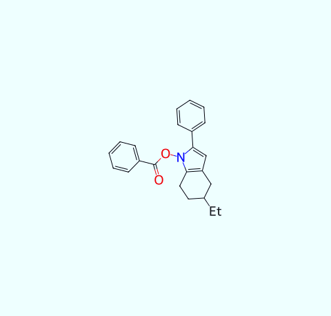 CCC1CCc2c(cc(-c3ccccc3)n2OC(=O)c2ccccc2)C1